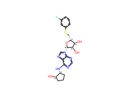 O[C@@H]1[C@H](O)[C@@H](CSc2cccc(F)c2)O[C@H]1n1cnc2c(N[C@@H]3CCC[C@H]3O)ncnc21